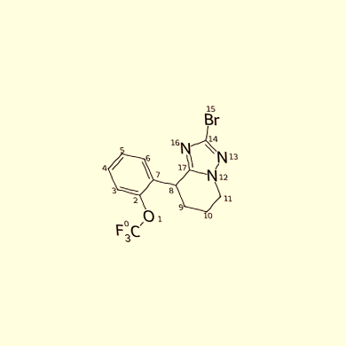 FC(F)(F)Oc1ccccc1C1CCCn2nc(Br)nc21